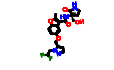 Cc1oc2ccc(OCc3ccnn3CC(F)F)cc2c1C(=O)N[C@]1(CO)CCNC1=O